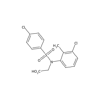 Cc1c(Cl)cccc1N(CC(=O)O)S(=O)(=O)c1ccc(Cl)cc1